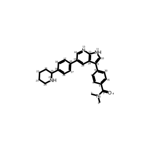 CN(C)C(=O)c1ccc(-c2c[nH]c3ncc(-c4ccc(C5CCCCN5)cc4)cc23)cc1